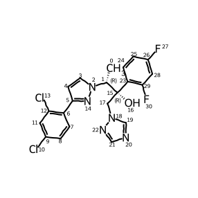 C[C@@H](n1ccc(-c2ccc(Cl)cc2Cl)n1)[C@](O)(Cn1cncn1)c1ccc(F)cc1F